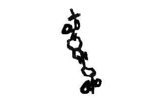 CC(C)(C)OC(=O)N1CCc2cn(-c3ccc(S(C)(=O)=O)cc3)nc2CC1